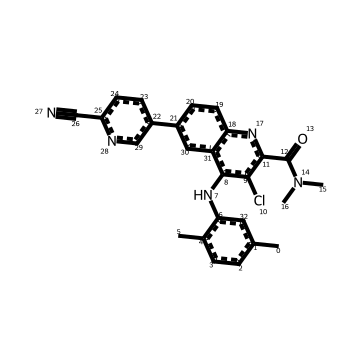 Cc1ccc(C)c(Nc2c(Cl)c(C(=O)N(C)C)nc3ccc(-c4ccc(C#N)nc4)cc23)c1